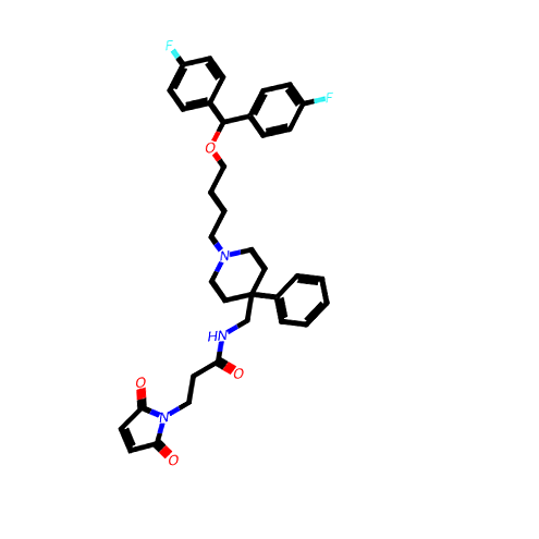 O=C(CCN1C(=O)C=CC1=O)NCC1(c2ccccc2)CCN(CCCCOC(c2ccc(F)cc2)c2ccc(F)cc2)CC1